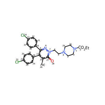 CCOC(=O)N1CCN(CCn2nc(-c3ccc(Cl)cc3)c(-c3ccc(Cl)cc3)c(C(C)=O)c2=O)CC1